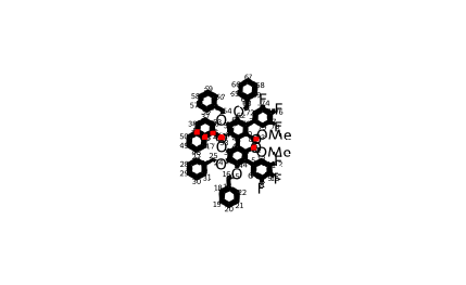 COC(=O)c1c(-c2cc(F)c(F)c(F)c2)c(OCc2ccccc2)c(OCc2ccccc2)c(OCc2ccccc2)c1-c1c(OCc2ccccc2)c(OCc2ccccc2)c(OCc2ccccc2)c(-c2cc(F)c(F)c(F)c2)c1C(=O)OC